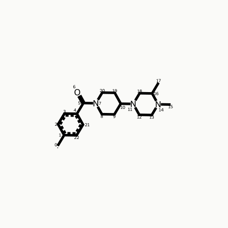 [CH2]c1ccc(C(=O)N2CCC(N3CCN(C)C(C)C3)CC2)cc1